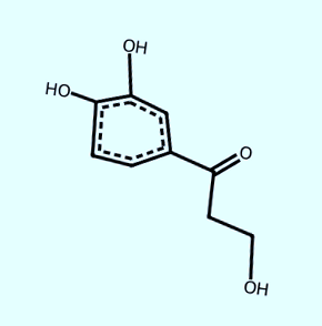 O=C(CCO)c1ccc(O)c(O)c1